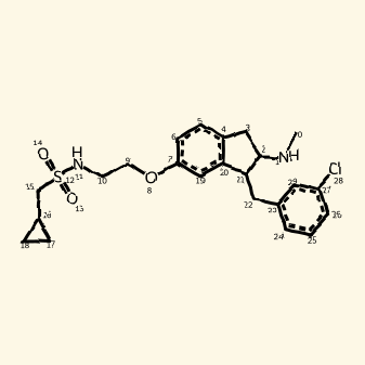 CNC1Cc2ccc(OCCNS(=O)(=O)CC3CC3)cc2C1Cc1cccc(Cl)c1